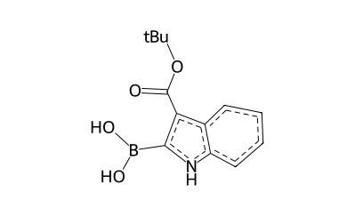 CC(C)(C)OC(=O)c1c(B(O)O)[nH]c2ccccc12